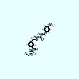 CC(C)(C)c1ccc(CNC(=O)NSCc2cccc(NS(=O)(=O)CC#N)c2)cc1